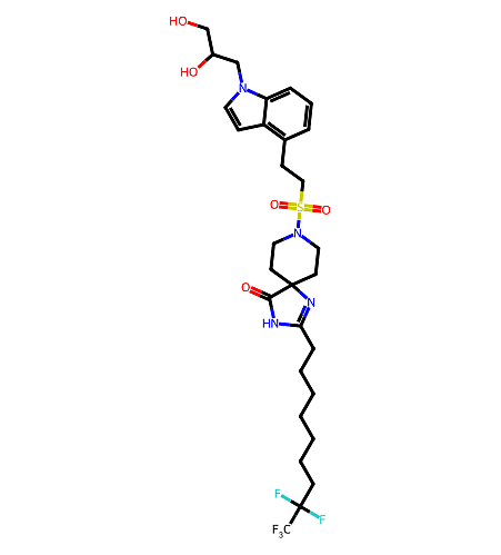 O=C1NC(CCCCCCCC(F)(F)C(F)(F)F)=NC12CCN(S(=O)(=O)CCc1cccc3c1ccn3CC(O)CO)CC2